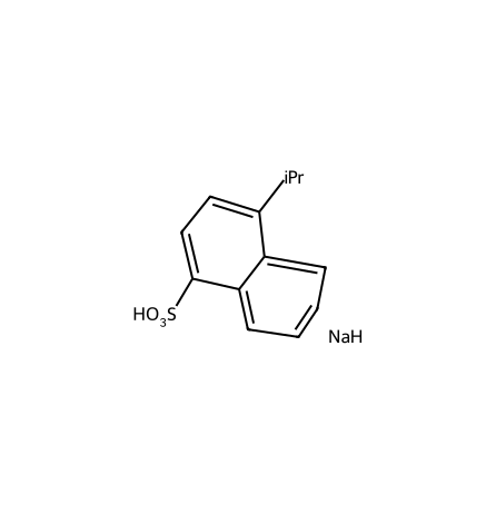 CC(C)c1ccc(S(=O)(=O)O)c2ccccc12.[NaH]